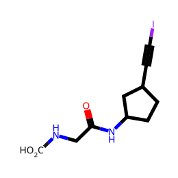 O=C(O)NCC(=O)NC1CCC(C#CI)C1